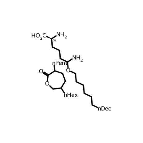 CCCCCCC1CCC(CCCCC)C(=O)OC1.CCCCCCCCCCCCCCCCOC(N)CCC[C@H](N)C(=O)O